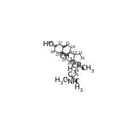 CNC(C)(C)CC[C@@H](C)[C@H]1CCC2C3CC=C4CC(O)CCC4(C)C3CCC21C